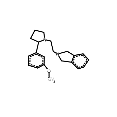 COc1cccc(C2CCCN2CCN2Cc3ccccc3C2)c1